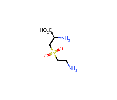 NCCS(=O)(=O)C[C@H](N)C(=O)O